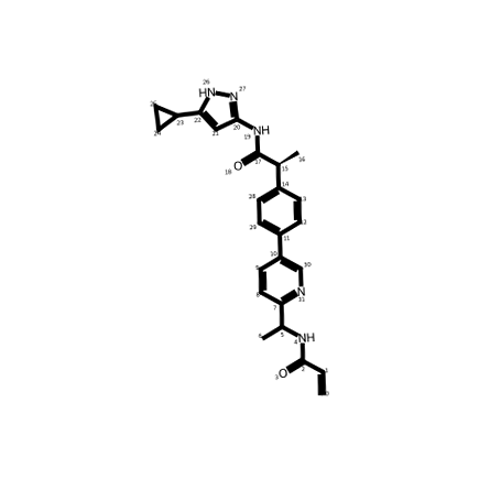 C=CC(=O)NC(C)c1ccc(-c2ccc([C@H](C)C(=O)Nc3cc(C4CC4)[nH]n3)cc2)cn1